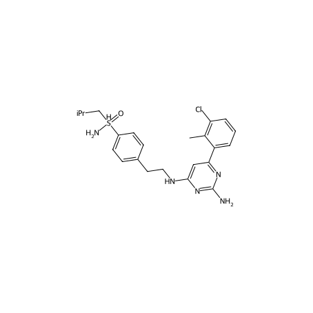 Cc1c(Cl)cccc1-c1cc(NCCc2ccc([SH](N)(=O)CC(C)C)cc2)nc(N)n1